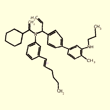 C=CC(c1ccc(-c2ccc(C)c(NCCC)c2)cc1)N(C(=C)C1CCCCC1)c1cccc(/C=C/CCCC)c1